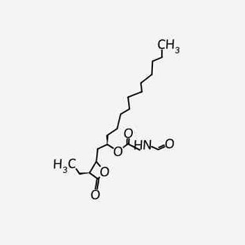 CCCCCCCCCCC[C@H](CC1OC(=O)[C@H]1CC)OC(=O)CNC=O